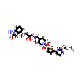 CSc1nccc(-c2ccc(S(=O)(=O)N3CCC(CNC[C@@H](O)COc4cccc5[nH]c(=O)[nH]c45)CC3)s2)n1